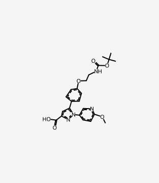 COc1ccc(-n2nc(C(=O)O)cc2-c2ccc(OCCNC(=O)OC(C)(C)C)cc2)cn1